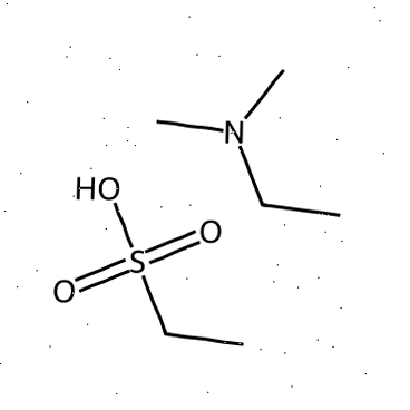 CCN(C)C.CCS(=O)(=O)O